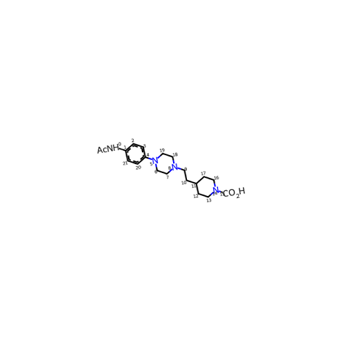 CC(=O)Nc1ccc(N2CCN(CCC3CCN(C(=O)O)CC3)CC2)cc1